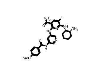 COc1ccc(C(=O)Nc2cncc(Nc3nc(N[C@@H]4CCCC[C@@H]4N)c(F)cc3C(N)=O)c2)cc1